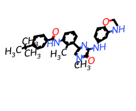 Cc1c(NC(=O)c2ccc(C(C)(C)C)cc2)cccc1-c1cn(C)c(=O)c(Nc2ccc3c(c2)NCCO3)n1